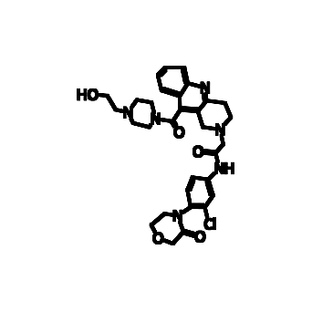 O=C(CN1CCc2nc3ccccc3c(C(=O)N3CCN(CCO)CC3)c2C1)Nc1ccc(N2CCOCC2=O)c(Cl)c1